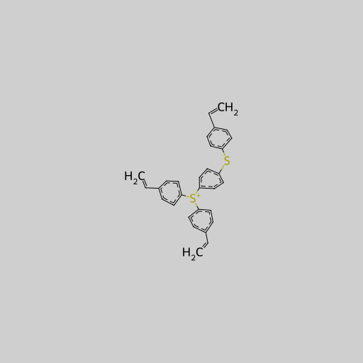 C=Cc1ccc(Sc2ccc([S+](c3ccc(C=C)cc3)c3ccc(C=C)cc3)cc2)cc1